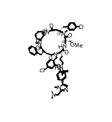 C=C(C)NCCC[C@H]1C(=O)N[C@@H](COC)C(=O)N(C)[C@@H](Cc2ccc(Cl)cc2)CC(=O)N[C@H]2CCCC[C@@H]2N(C)C(=O)[C@H](Cc2ccccc2)CC(=O)N1Cc1ccc(Cl)cc1Oc1ccc(-c2cnc(CN(C)C)n2C)cc1